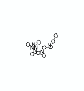 C1=CCCC(c2nc(-c3ccccc3)nc(-n3c4ccccc4c4cc5c6ccccc6n(-c6cccc(-c7cccc(-c8ccc(-c9ccccc9)cc8)n7)c6)c5cc43)n2)=C1